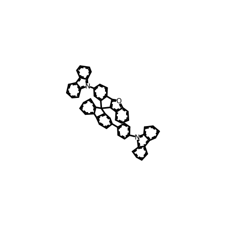 c1ccc2c(c1)-c1ccc(-c3ccc(-n4c5ccccc5c5ccccc54)cc3)cc1C21c2cc(-n3c4ccccc4c4ccccc43)ccc2-c2oc3ccccc3c21